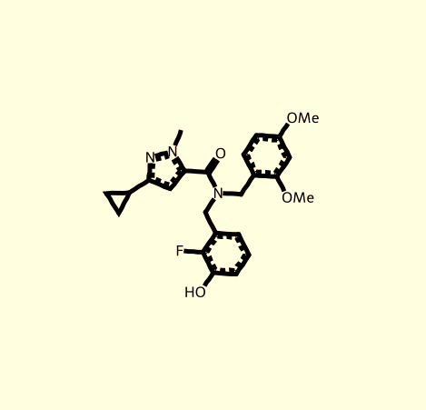 COc1ccc(CN(Cc2cccc(O)c2F)C(=O)c2cc(C3CC3)nn2C)c(OC)c1